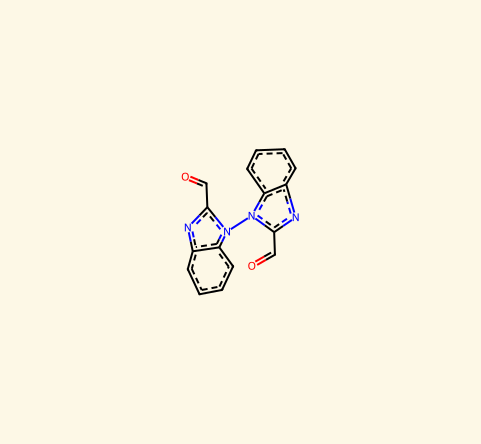 O=Cc1nc2ccccc2n1-n1c(C=O)nc2ccccc21